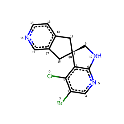 Clc1c(Br)cnc2c1[C@@]1(CN2)Cc2ccncc2C1